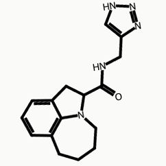 O=C(NCc1c[nH]nn1)C1Cc2cccc3c2N1CCCC3